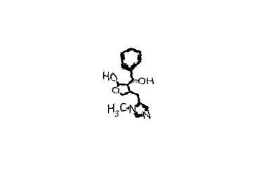 Cn1cncc1CC1COC(O)C1[C@@H](O)c1ccccc1